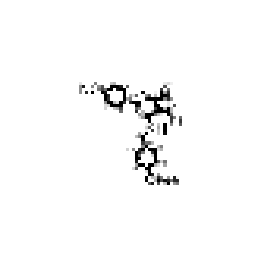 CCc1nn(C)c2nc(-c3ccc(C#N)cc3)nc(NCc3ccc(OC)cc3)c12